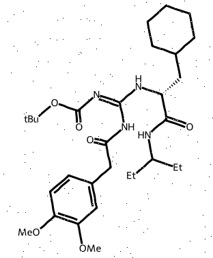 CCC(CC)NC(=O)[C@@H](CC1CCCCC1)N/C(=N/C(=O)OC(C)(C)C)NC(=O)Cc1ccc(OC)c(OC)c1